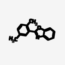 Cc1ccc(C)c(-c2nc3ccccc3o2)c1